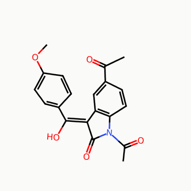 COc1ccc(/C(O)=C2/C(=O)N(C(C)=O)c3ccc(C(C)=O)cc32)cc1